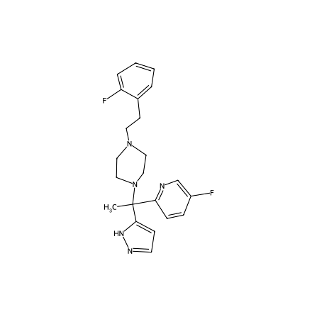 CC(c1ccc(F)cn1)(c1ccn[nH]1)N1CCN(CCc2ccccc2F)CC1